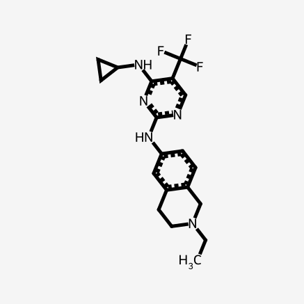 CCN1CCc2cc(Nc3ncc(C(F)(F)F)c(NC4CC4)n3)ccc2C1